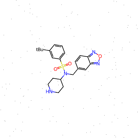 CC(C)(C)c1cccc(S(=O)(=O)N(Cc2ccc3nonc3c2)C2CCNCC2)c1